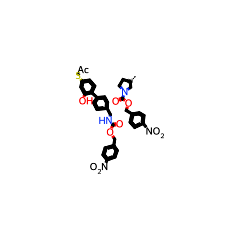 CC(=O)Sc1ccc(-c2ccc(CNC(=O)OCc3ccc([N+](=O)[O-])cc3)cc2)c(O)c1.C[C@H]1CCN(C(=O)OCc2ccc([N+](=O)[O-])cc2)C1